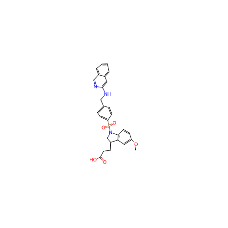 COc1ccc2c(c1)C(CCC(=O)O)CN2S(=O)(=O)c1ccc(CNc2cc3ccccc3cn2)cc1